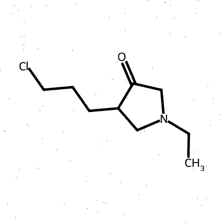 CCN1CC(=O)C(CCCCl)C1